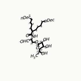 CCCCCCCCCCCCCCC(CCCCCCCCCCCCCC)C(=O)N[C@H]([C]=O)COC1O[C@H]([C@H](C)O)[C@@H](O)[C@@H]1O